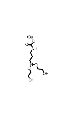 CC(C)(C)OC(=O)NCCCN(OCCO)OCCO